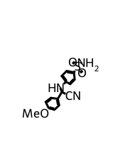 COc1ccc(C(C#N)Nc2ccc(S(N)(=O)=O)cc2)cc1